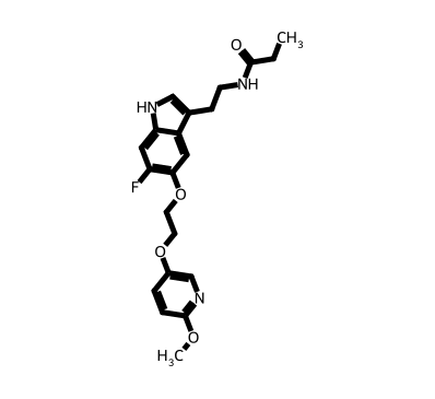 CCC(=O)NCCc1c[nH]c2cc(F)c(OCCOc3ccc(OC)nc3)cc12